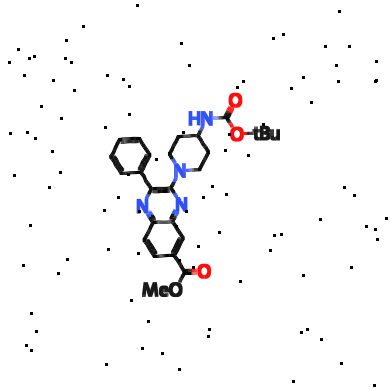 COC(=O)c1ccc2nc(-c3ccccc3)c(N3CCC(NC(=O)OC(C)(C)C)CC3)nc2c1